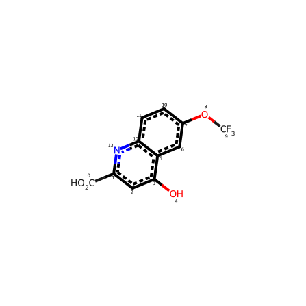 O=C(O)c1cc(O)c2cc(OC(F)(F)F)ccc2n1